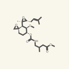 COC(=O)CC(C)CNC(=O)O[C@@H]1CC[C@]2(CO2)[C@@H]([C@@]2(C)O[C@@H]2CC=C(C)C)[C@H]1OC